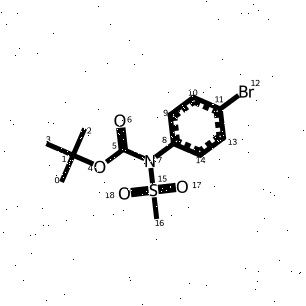 CC(C)(C)OC(=O)N(c1ccc(Br)cc1)S(C)(=O)=O